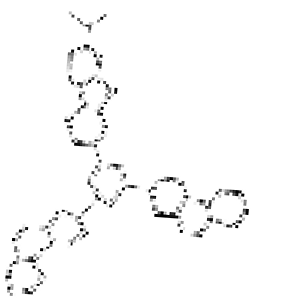 CN(C)c1ccc2c(c1)oc1cc(-c3cc(-c4ccc5c(ccc6ccccc65)c4)cc(-c4ccc5c(ccc6ccccc65)c4)c3)ccc12